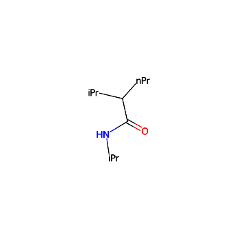 CCCC(C(=O)NC(C)C)C(C)C